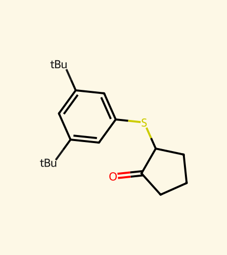 CC(C)(C)c1cc(SC2CCCC2=O)cc(C(C)(C)C)c1